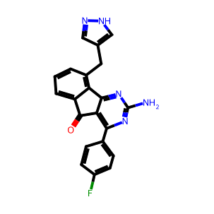 Nc1nc(-c2ccc(F)cc2)c2c(n1)-c1c(Cc3cn[nH]c3)cccc1C2=O